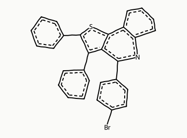 Brc1ccc(-c2nc3ccccc3c3sc(-c4ccccc4)c(-c4ccccc4)c23)cc1